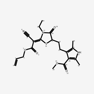 C=CCOC(=O)/C(C#N)=C1\SC(CCc2c(C)[nH]c(C)c2C(=O)OC)C(=O)N1CC